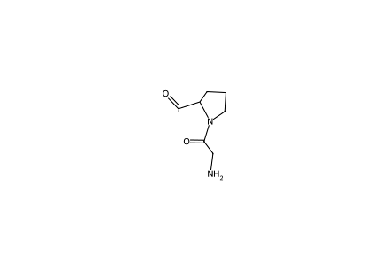 NCC(=O)N1CCCC1[C]=O